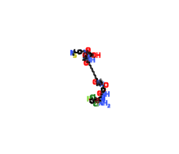 Cc1ncsc1-c1ccc(CNC(=O)[C@@H]2C[C@@H](O)CN2C(=O)[C@@H](NC(=O)CCCCCCCCCCCC(=O)N2[C@H](C)CN(C(=O)c3ccc(NC(=O)c4cc(O[C@H](C)c5c(Cl)ccc(F)c5Cl)c(N)nn4)cc3)C[C@@H]2C)C(C)(C)C)cc1